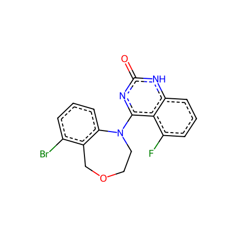 O=c1nc(N2CCOCc3c(Br)cccc32)c2c(F)cccc2[nH]1